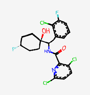 O=C(NC(c1cccc(F)c1Cl)[C@]1(O)CC[C@H](F)CC1)c1nc(Cl)ccc1Cl